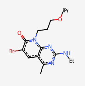 CCNc1nc(C)c2cc(Br)c(=O)n(CCCOC(C)C)c2n1